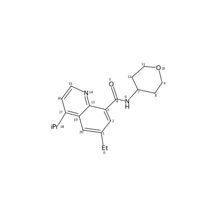 CCc1cc(C(=O)NC2CCOCC2)c2nccc(C(C)C)c2c1